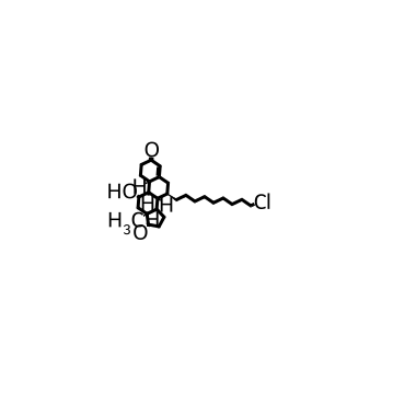 C[C@]12CC(O)[C@H]3[C@@H]([C@H](CCCCCCCCCCl)CC4=CC(=O)CC[C@@H]43)[C@@H]1CCC2=O